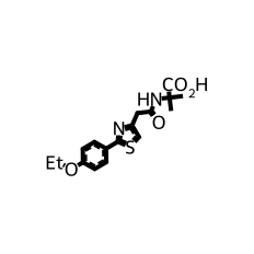 CCOc1ccc(-c2nc(CC(=O)NC(C)(C)C(=O)O)cs2)cc1